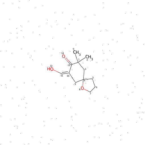 CC1(C)CC2(CCCO2)CC(=CO)C1=O